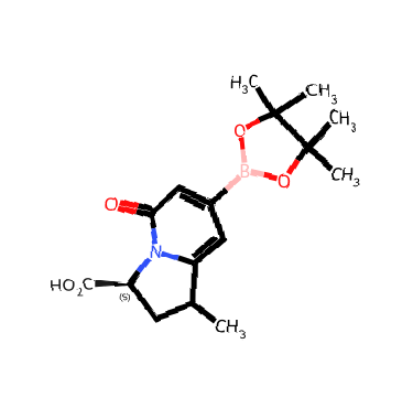 CC1C[C@@H](C(=O)O)n2c1cc(B1OC(C)(C)C(C)(C)O1)cc2=O